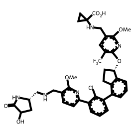 COc1nc(-c2cccc(-c3cccc4c3CC[C@@H]4Oc3nc(OC)c(CNC4(C(=O)O)CC4)cc3C(F)(F)F)c2Cl)ccc1CNC[C@@H]1CC(O)C(=O)N1